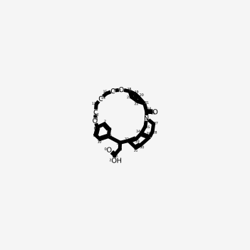 O=C(O)CC1c2ccc(cc2)OCCCCCOc2ccc(cc2)C(=O)N2CCc3ccc1cc3C2